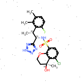 Cc1ccc(F)c([C@@H](C)[C@H](NS(=O)(=O)c2ccc(Cl)c3c2OCC[C@]3(C)O)c2nn[nH]n2)c1C